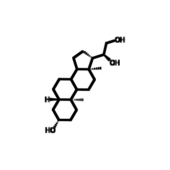 C[C@]12CCC3C(CC[C@H]4C[C@@H](O)CC[C@]34C)C1CC[C@@H]2[C@H](O)CO